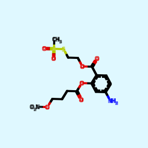 CS(=O)(=O)SCCOC(=O)c1ccc(N)cc1OC(=O)CCCO[N+](=O)[O-]